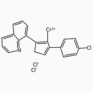 Clc1ccc(C2=CCC(c3cccc4cccnc34)=[C]2[Cr+2])cc1.[Cl-].[Cl-]